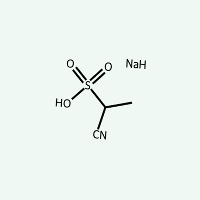 CC(C#N)S(=O)(=O)O.[NaH]